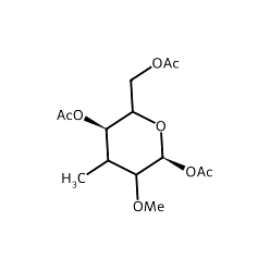 COC1C(C)[C@@H](OC(C)=O)C(COC(C)=O)O[C@H]1OC(C)=O